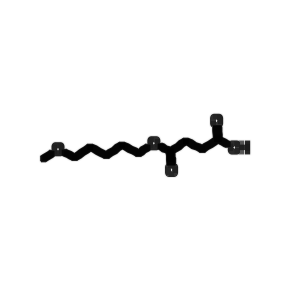 COCCCCCOC(=O)CCC(=O)O